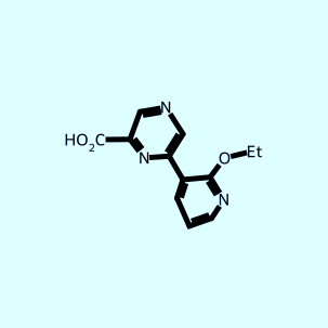 CCOc1ncccc1-c1cncc(C(=O)O)n1